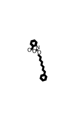 O=c1oc(OCCCCCCCCc2ccccc2)nc2ccccc12